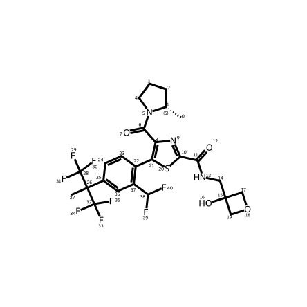 C[C@H]1CCCN1C(=O)c1nc(C(=O)NCC2(O)COC2)sc1-c1ccc(C(C)(C(F)(F)F)C(F)(F)F)cc1C(F)F